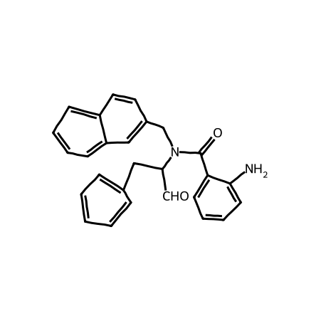 Nc1ccccc1C(=O)N(Cc1ccc2ccccc2c1)C(C=O)Cc1ccccc1